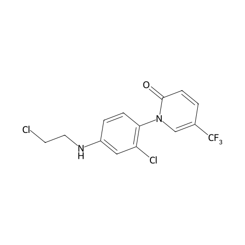 O=c1ccc(C(F)(F)F)cn1-c1ccc(NCCCl)cc1Cl